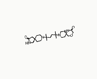 CC(C)(CCC(C)(C)N1CCC2(CC1)COCC(=O)N2)N1CCC2(CC1)CNC(=O)C2